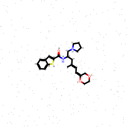 C/C(=C\C=C1/COCCO1)CC(CN1CCCC1)NC(=O)c1cc2ccccc2s1